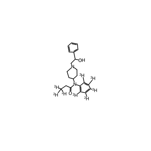 [2H]c1c([2H])c([2H])c(N(C(=O)CC([2H])([2H])[2H])C2CCN(CC(O)c3ccccc3)CC2)c([2H])c1[2H]